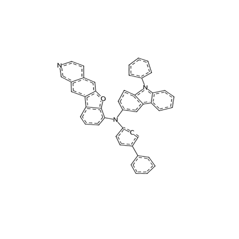 c1ccc(-c2ccc(N(c3ccc4c(c3)c3ccccc3n4-c3ccccc3)c3cccc4c3oc3cc5ccncc5cc34)cc2)cc1